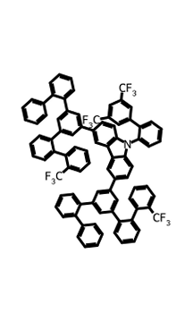 FC(F)(F)c1cc(-c2ccccc2-n2c3ccc(-c4cc(-c5ccccc5-c5ccccc5)cc(-c5ccccc5-c5ccccc5C(F)(F)F)c4)cc3c3cc(-c4cc(-c5ccccc5-c5ccccc5)cc(-c5ccccc5-c5ccccc5C(F)(F)F)c4)ccc32)cc(C(F)(F)F)c1